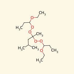 CCOC(CC)OOC(C)(CC(C)C)OOC(CC)OCC